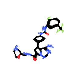 Nc1ncnn2c(C(=O)NCC3CNCCO3)cc(-c3ccc(NC(=O)Nc4cc(C(F)(F)F)ccc4F)cc3)c12